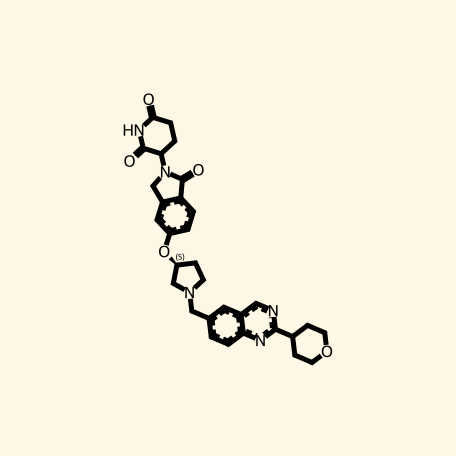 O=C1CCC(N2Cc3cc(O[C@H]4CCN(Cc5ccc6nc(C7CCOCC7)ncc6c5)C4)ccc3C2=O)C(=O)N1